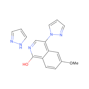 COc1ccc2c(O)ncc(-n3cccn3)c2c1.c1cn[nH]c1